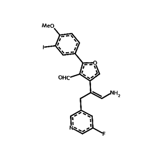 COc1ccc(-c2occ(/C(=C\N)Cc3cncc(F)c3)c2C=O)cc1I